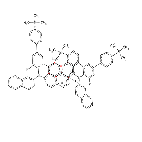 C[Si](C)(C)c1ccc(-c2cc(F)c(N(c3ccc4ccccc4c3)c3ccc4ccc5c(N(c6ccc7ccccc7c6)c6c(F)cc(-c7ccc([Si](C)(C)C)cc7)cc6-c6ccc([Si](C)(C)C)cc6)ccc6ccc3c4c65)c(-c3ccc([Si](C)(C)C)cc3)c2)cc1